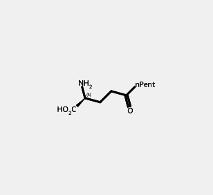 [CH2]CCCCC(=O)CC[C@H](N)C(=O)O